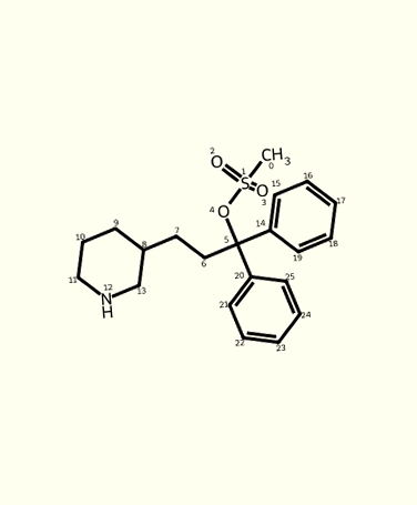 CS(=O)(=O)OC(CCC1CCCNC1)(c1ccccc1)c1ccccc1